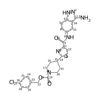 Nc1n[nH]c2ccc(NC(=O)c3csc(C4CCN(C(=O)OCc5ccc(Cl)cc5)CC4)n3)cc12